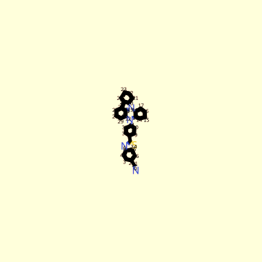 N#Cc1ccc2nc(-c3ccc(N4c5ccccc5-n5c6ccccc6c6cccc4c65)cc3)sc2c1